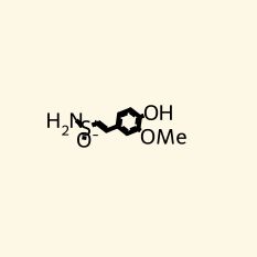 COc1cc(C=C[S+](N)[O-])ccc1O